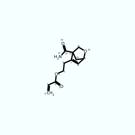 C=CC(=O)OCCC1=CC2CC1(C(N)=O)CO2